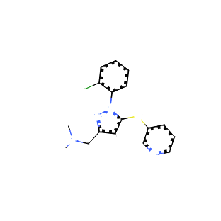 CN(Cc1cc(Sc2cccnc2)n(-c2ccccc2Cl)n1)C(=O)O